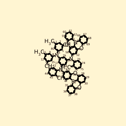 Cc1cc(C)cc(N(c2cc(C)cc(C)c2)c2cc(N(c3ccc4c(c3)Oc3cccc5c3B4c3ccccc3O5)c3ccccc3C)cc(N(c3cc4c5c(c3)Oc3ccccc3B5c3ccccc3O4)c3ccccc3C)c2)c1